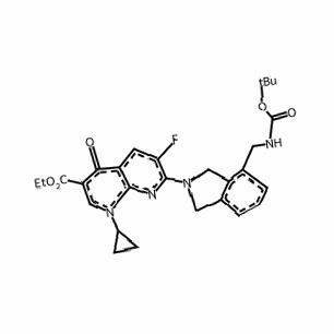 CCOC(=O)c1cn(C2CC2)c2nc(N3Cc4cccc(CNC(=O)OC(C)(C)C)c4C3)c(F)cc2c1=O